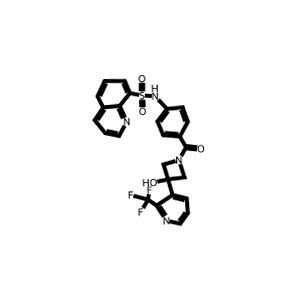 O=C(c1ccc(NS(=O)(=O)c2cccc3cccnc23)cc1)N1CC(O)(c2cccnc2C(F)(F)F)C1